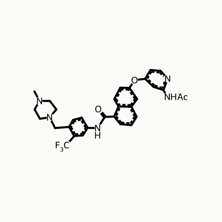 CC(=O)Nc1cc(Oc2ccc3c(C(=O)Nc4ccc(CN5CCN(C)CC5)c(C(F)(F)F)c4)cccc3c2)ccn1